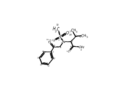 CC(C)C(C(=O)O)N(CC(=O)c1ccccc1)S(C)(=O)=O